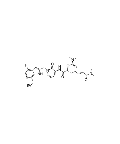 CC(C)Cc1ncc(F)c2cc(Cn3cccc(NC(=O)C(CCC=CC(=O)N(C)C)OC(=O)N(C)C)c3=O)[nH]c12